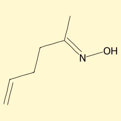 C=CCCC(C)=NO